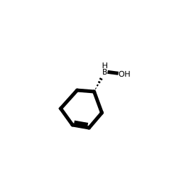 OB[C@@H]1CC=CCC1